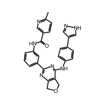 Cc1ccc(C(=O)Nc2cccc(-c3nc4c(c(Nc5ccc(-c6cn[nH]c6)cc5)n3)COC4)c2)cn1